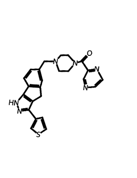 O=C(c1cnccn1)N1CCN(Cc2ccc3c(c2)Cc2c(-c4ccsc4)n[nH]c2-3)CC1